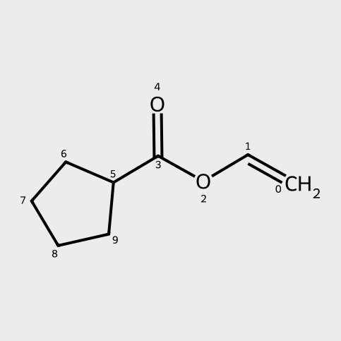 C=COC(=O)C1CCCC1